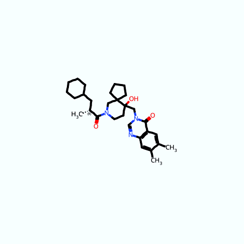 Cc1cc2ncn(CC3(O)CCN(C(=O)[C@H](C)CC4CCCCC4)CC34CCCC4)c(=O)c2cc1C